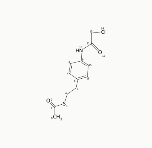 CC(=O)SCCc1ccc(NC(=O)CCl)cc1